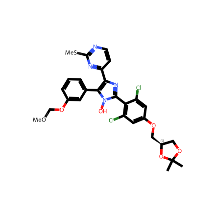 COCOc1cccc(-c2c(-c3ccnc(SC)n3)nc(-c3c(Cl)cc(OC[C@H]4COC(C)(C)O4)cc3Cl)n2O)c1